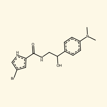 CN(C)c1ccc(C(O)CNC(=O)c2cc(Br)c[nH]2)cc1